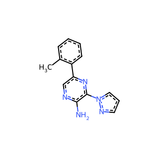 Cc1ccccc1-c1cnc(N)c(-n2cccn2)n1